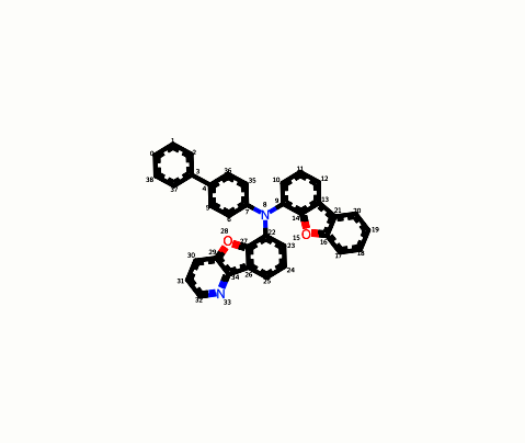 c1ccc(-c2ccc(N(c3cccc4c3oc3ccccc34)c3cccc4c3oc3cccnc34)cc2)cc1